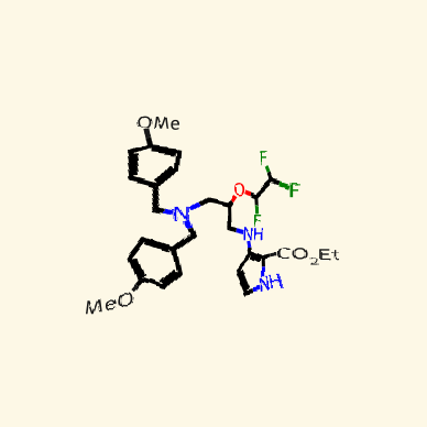 CCOC(=O)c1[nH]ccc1NCC(CN(Cc1ccc(OC)cc1)Cc1ccc(OC)cc1)OC(F)C(F)F